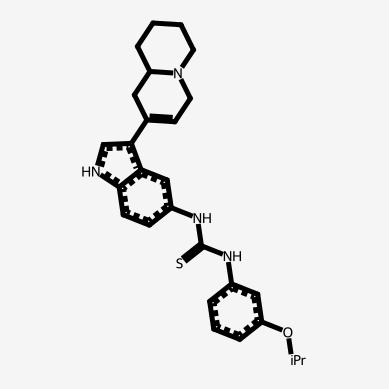 CC(C)Oc1cccc(NC(=S)Nc2ccc3[nH]cc(C4=CCN5CCCCC5C4)c3c2)c1